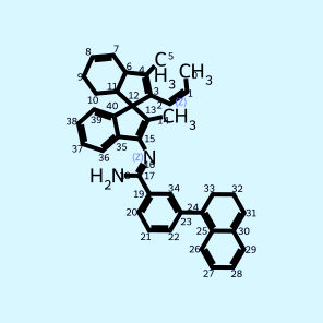 C/C=C\C1=C(C)C2C=CCCC2C12C(C)=C(/N=C(\N)c1cccc(C3=c4ccccc4=CCC3)c1)c1ccccc12